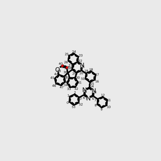 c1ccc(-c2nc(-c3ccccc3)nc(-c3cccc(-c4nc5ccccc5c5c4-c4ccccc4C54c5ccccc5Oc5ccccc54)c3)n2)cc1